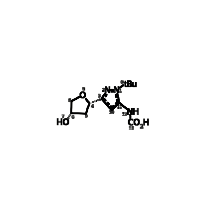 CC(C)(C)n1nc([C@@H]2C[C@H](O)CO2)cc1NC(=O)O